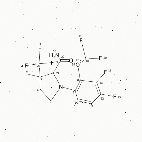 CC1(C(F)(F)F)CCN(c2ccc(F)c(F)c2OC(F)F)C1C(N)=O